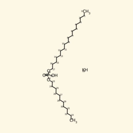 CCCCCCCCCCCCCCCCCCOP(=O)(O)OCCCCCCCCCCCC.[KH]